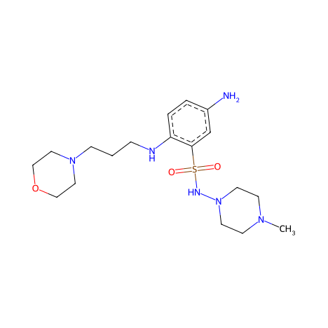 CN1CCN(NS(=O)(=O)c2cc(N)ccc2NCCCN2CCOCC2)CC1